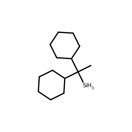 CC([SiH3])(C1CCCCC1)C1CCCCC1